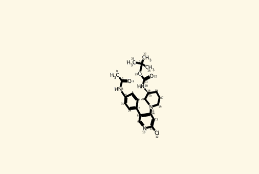 CC(=O)Nc1ccc(-c2cnc(Cl)cc2N2CCC[C@H](NC(=O)OC(C)(C)C)C2)cc1